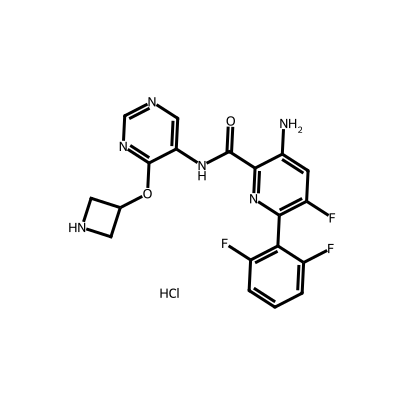 Cl.Nc1cc(F)c(-c2c(F)cccc2F)nc1C(=O)Nc1cncnc1OC1CNC1